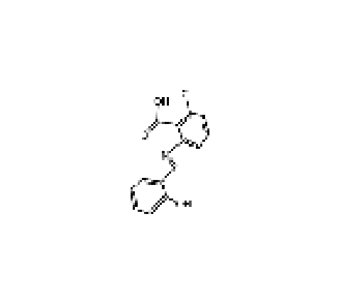 O=C(O)c1c(Cl)cccc1/N=C/c1ccccc1O